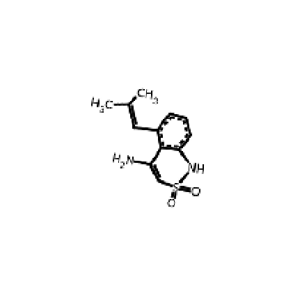 CC(C)=Cc1cccc2c1C(N)=CS(=O)(=O)N2